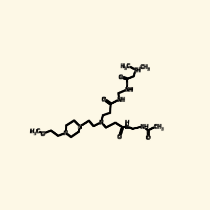 COCCN1CCN(CCN(CCC(=O)NCNC(C)=O)CCC(=O)NCNC(=O)C[SH](C)C)CC1